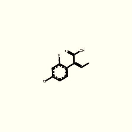 C/C=C(\C(=O)O)c1ccc(Cl)cc1F